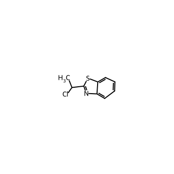 CC(Cl)c1nc2ccccc2s1